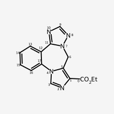 CCOC(=O)c1ncn2c1Cn1ncnc1-c1ccccc1-2